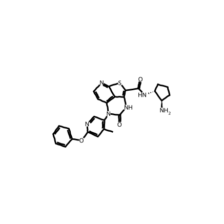 Cc1cc(Oc2ccccc2)ncc1N1C(=O)Nc2c(C(=O)N[C@@H]3CCC[C@H]3N)sc3nccc1c23